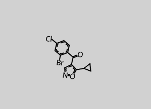 O=C(c1ccc(Cl)cc1Br)c1cnoc1C1CC1